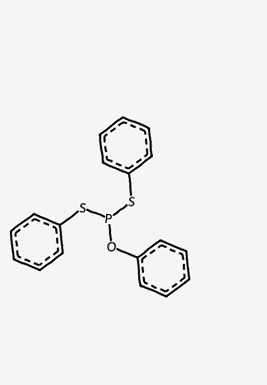 c1ccc(OP(Sc2ccccc2)Sc2ccccc2)cc1